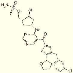 NS(=O)(=O)OC[C@H]1C[C@@H](Nc2ncncc2C(=O)c2cc(Cc3cccc(Cl)c3)c([C@@H]3CCCO3)s2)C[C@@H]1O